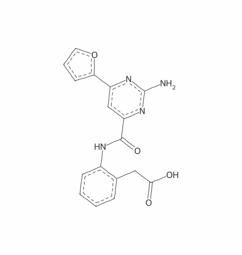 Nc1nc(C(=O)Nc2ccccc2CC(=O)O)cc(-c2ccco2)n1